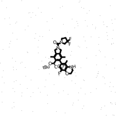 Cc1c(-c2c(C)c3c(c(C)c2[C@H](OC(C)(C)C)C(=O)O)CN(C(=O)N2CCC(F)(F)C2)C3)cc(F)c2c1NCCO2